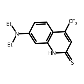 CCN(CC)c1ccc2c(C(F)(F)F)cc(=S)[nH]c2c1